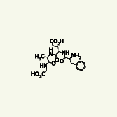 C[C@H](NC(=O)[C@H](CCC(=O)O)NC(=O)[C@@H](N)Cc1ccccc1)C(=O)NCC(=O)O